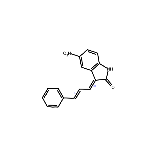 O=C1Nc2ccc([N+](=O)[O-])cc2/C1=C\C=C\c1ccccc1